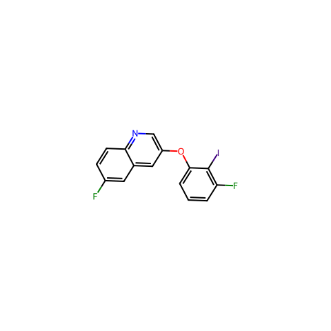 Fc1ccc2ncc(Oc3cccc(F)c3I)cc2c1